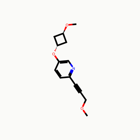 COCC#Cc1ccc(O[C@H]2C[C@H](OC)C2)cn1